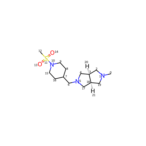 CN1C[C@@H]2CN(CC3CCN(S(C)(=O)=O)CC3)C[C@@H]2C1